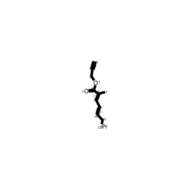 C#CCOC(=O)/C(C)=C/C=C/CC(C)C